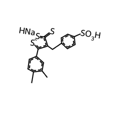 Cc1ccc(-c2ssc(=S)c2Cc2ccc(S(=O)(=O)O)cc2)cc1C.[NaH]